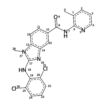 Cc1cccnc1NC(=O)c1ccc2c(c1)nc(Nc1c(Cl)cccc1Cl)n2C